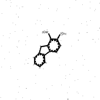 CCCCCCCCCCc1ccc2c(c1CCCCCCCCCC)[CH]c1ccccc1-2